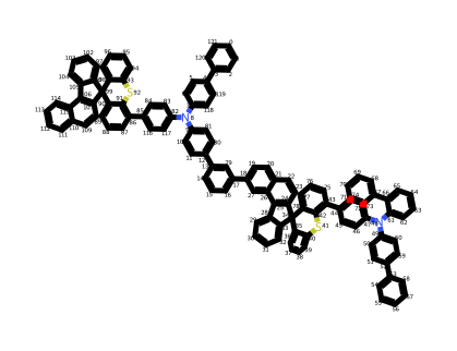 c1ccc(-c2ccc(N(c3ccc(-c4cccc(-c5ccc6ccc7c(c6c5)-c5ccccc5C75c6ccccc6Sc6c(-c7ccc(N(c8ccc(-c9ccccc9)cc8)c8ccccc8-c8ccccc8)cc7)cccc65)c4)cc3)c3ccc(-c4cccc5c4Sc4ccccc4C54c5ccccc5-c5c4ccc4ccccc54)cc3)cc2)cc1